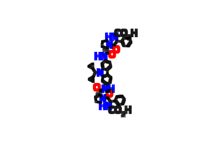 O=C(O)NC(C(=O)N1CCC[C@H]1C(=O)Nc1ccc2c3ccc(NC(=O)[C@@H]4CCCN4C(=O)C(NC(=O)O)c4ccccc4)cc3n(C(C3CC3)C3CC3)c2c1)c1ccccc1